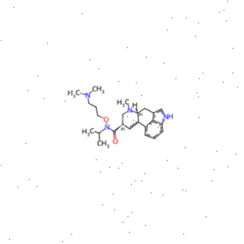 CC(C)N(OCCCN(C)C)C(=O)[C@@H]1C=C2c3cccc4[nH]cc(c34)C[C@H]2N(C)C1